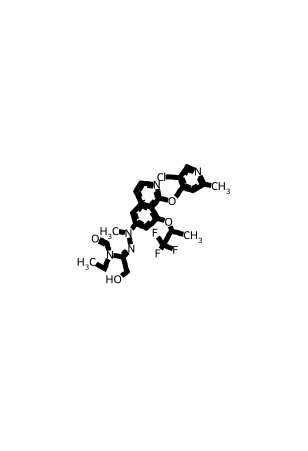 CCN(C=O)/C(CO)=N\N(C)c1cc(OC(C)C(F)(F)F)c2c(Oc3cc(C)ncc3Cl)nccc2c1